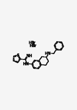 Br.Br.N=C(Nc1ccc2c(c1)CC(NCc1ccccc1)CC2)c1cccs1